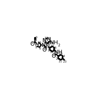 C#CC(=O)N1CC[C@@H](n2c(=O)n(-c3ccc(NC(=O)c4ccc(C)cc4)cc3)c3c(N)ncnc32)C1